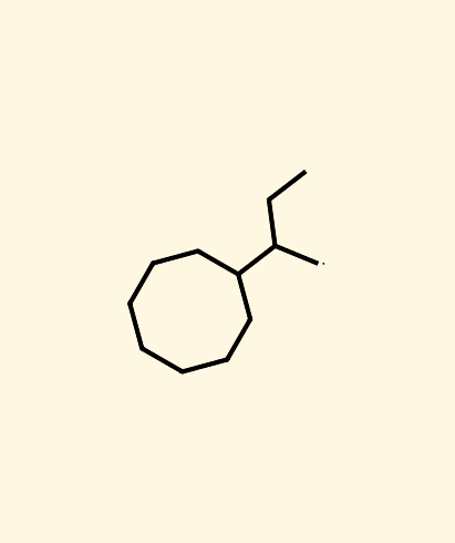 [CH2]C(CC)C1CCCCCCC1